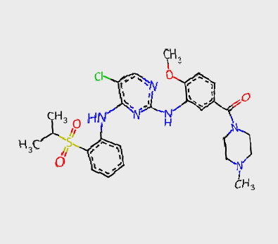 COc1ccc(C(=O)N2CCN(C)CC2)cc1Nc1ncc(Cl)c(Nc2ccccc2S(=O)(=O)C(C)C)n1